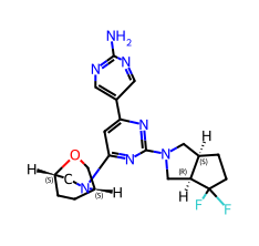 Nc1ncc(-c2cc(N3C[C@@H]4CC[C@H]3CO4)nc(N3C[C@H]4CCC(F)(F)[C@H]4C3)n2)cn1